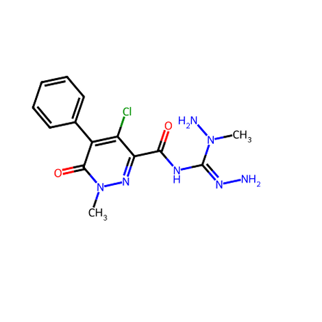 CN(N)/C(=N\N)NC(=O)c1nn(C)c(=O)c(-c2ccccc2)c1Cl